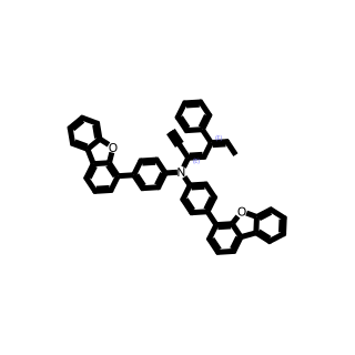 C#C/C(=C\C(=C/C)c1ccccc1)N(c1ccc(-c2cccc3c2oc2ccccc23)cc1)c1ccc(-c2cccc3c2oc2ccccc23)cc1